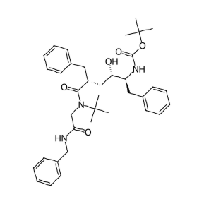 CC(C)(C)OC(=O)N[C@@H](Cc1ccccc1)[C@@H](O)C[C@@H](Cc1ccccc1)C(=O)N(CC(=O)NCc1ccccc1)C(C)(C)C